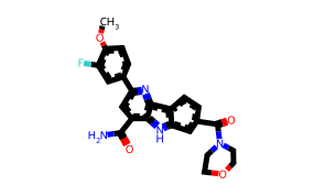 COc1ccc(-c2cc(C(N)=O)c3[nH]c4cc(C(=O)N5CCOCC5)ccc4c3n2)cc1F